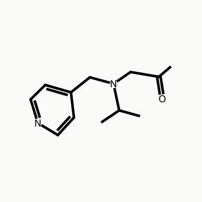 CC(=O)CN(Cc1ccncc1)C(C)C